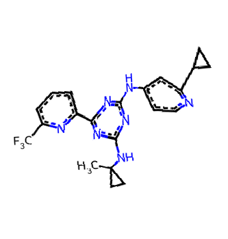 CC1(Nc2nc(Nc3ccnc(C4CC4)c3)nc(-c3cccc(C(F)(F)F)n3)n2)CC1